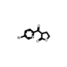 O=C1OCCC1C(=O)c1ccc(Br)cn1